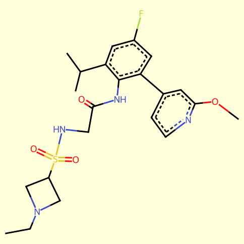 CCN1CC(S(=O)(=O)NCC(=O)Nc2c(-c3ccnc(OC)c3)cc(F)cc2C(C)C)C1